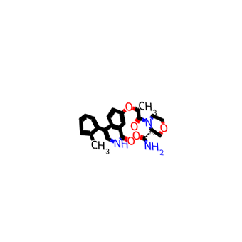 Cc1ccccc1-c1c[nH]c(=O)c2cc(O[C@H](C)C(=O)N3CCOC[C@@H]3C(N)=O)ccc12